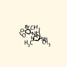 CNc1cc(C)nc(Nc2cc3c(c(Br)c2C)OCCO3)n1